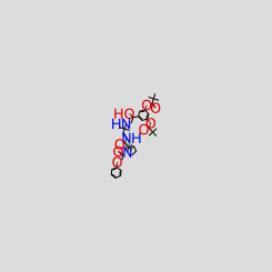 CC(C)(CNC(=O)[C@H]1CCCN1C(=O)COc1ccccc1)NCC(O)c1cc(OC(=O)C(C)(C)C)cc(OC(=O)C(C)(C)C)c1